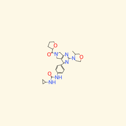 CC1COCCN1c1nc2c(c(-c3ccc(NC(=O)NC4CC4)cc3)n1)CN(C(=O)C1CCCO1)C2